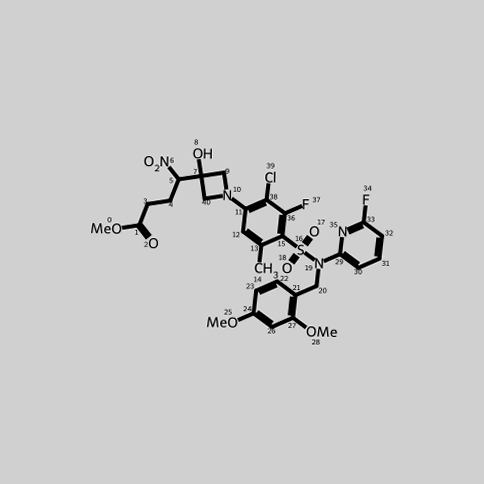 COC(=O)CCC([N+](=O)[O-])C1(O)CN(c2cc(C)c(S(=O)(=O)N(Cc3ccc(OC)cc3OC)c3cccc(F)n3)c(F)c2Cl)C1